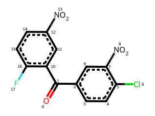 O=C(c1ccc(Cl)c([N+](=O)[O-])c1)c1cc([N+](=O)[O-])ccc1F